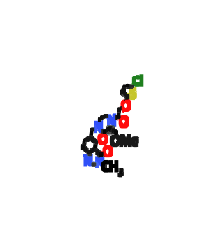 COC[C@H]1C(=O)N(Cc2ccc3ncn(C)c(=O)c3c2)CCN1C(=O)COc1ccc(Cl)s1